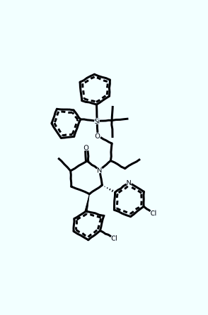 CCC(CO[Si](c1ccccc1)(c1ccccc1)C(C)(C)C)N1C(=O)C(C)C[C@H](c2cccc(Cl)c2)[C@H]1c1ccc(Cl)cn1